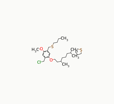 C1CCSC1.CCCCSCc1cc(OCCC(C)CCCC(C)C)c(CCl)cc1OC